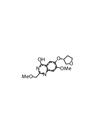 COCc1nc(O)c2cc(O[C@H]3CCOC3)c(OC)cc2n1